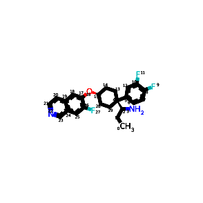 CCC(N)[C@]1(c2ccc(F)c(F)c2)CC[C@H](Oc2cc3ccncc3cc2F)CC1